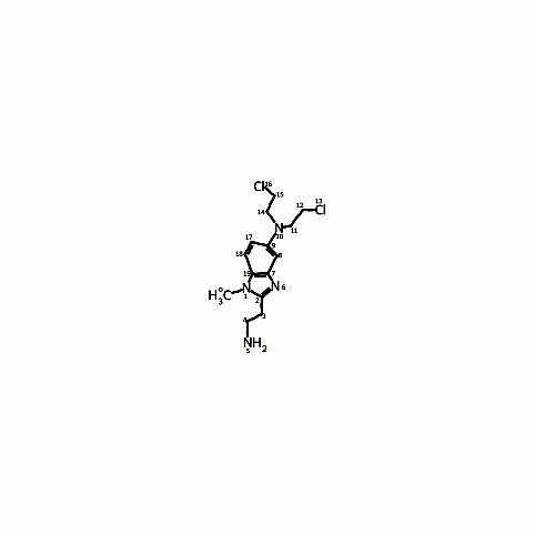 Cn1c(CCN)nc2cc(N(CCCl)CCCl)ccc21